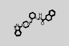 O=C(NC[C@H]1CCCC[C@@H]1CN1CCN(c2nsc3ccccc23)CC1)C1CCc2ccccc2C1